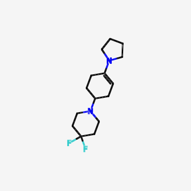 FC1(F)CCN(C2CC=C(N3CCCC3)CC2)CC1